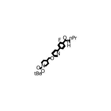 CCCNC(=O)c1ccc(-c2ccc(OCC3CCN(C(=O)OC(C)(C)C)CC3)cn2)cc1F